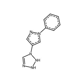 C1=NNNN1c1cnn(-c2ccccc2)c1